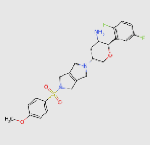 COc1ccc(S(=O)(=O)N2CC3=C(CN([C@H]4CO[C@H](c5cc(F)ccc5F)C(N)C4)C3)C2)cc1